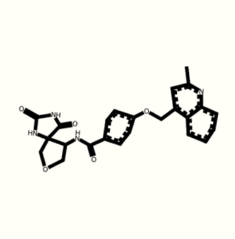 Cc1cc(COc2ccc(C(=O)NC3COCC34NC(=O)NC4=O)cc2)c2ccccc2n1